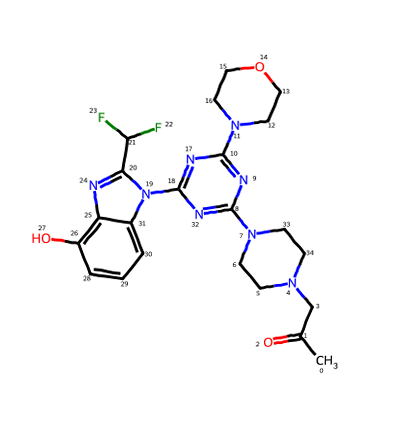 CC(=O)CN1CCN(c2nc(N3CCOCC3)nc(-n3c(C(F)F)nc4c(O)cccc43)n2)CC1